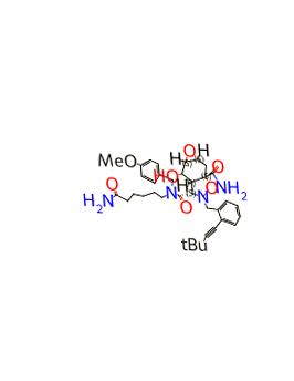 COc1ccc(CN(CCCCCC(N)=O)C(=O)[C@@H]2[C@@H]3C(O)[C@@H]4O[C@H]4C[C@]3(C(N)=O)ON2Cc2ccccc2C#CC(C)(C)C)cc1